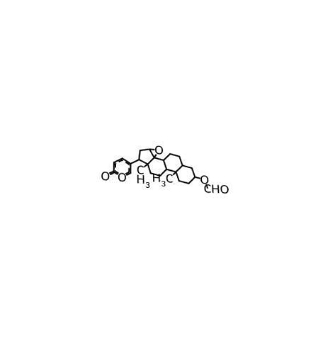 CC12CCC(OC=O)CC1CCC1C2CCC2(C)C(c3ccc(=O)oc3)CC3OC312